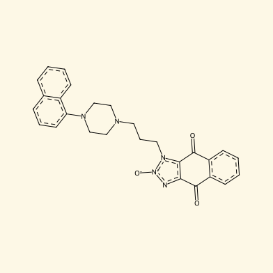 O=C1c2ccccc2C(=O)c2c1n[n+]([O-])n2CCCN1CCN(c2cccc3ccccc23)CC1